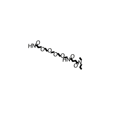 CCCN(CC)C(=O)CCC(=O)NCCOCCOCCOCCOCCC(=O)NC